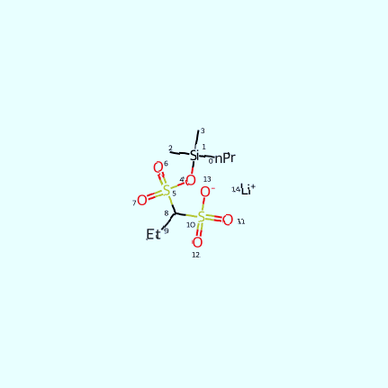 CCC[Si](C)(C)OS(=O)(=O)C(CC)S(=O)(=O)[O-].[Li+]